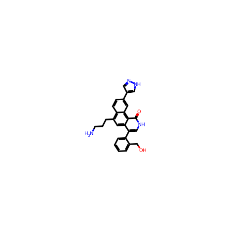 NCCCc1cc2c(-c3ccccc3CO)c[nH]c(=O)c2c2cc(-c3cn[nH]c3)ccc12